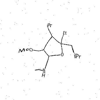 CBC1OC(CC)(CC(C)C)C(C(C)C)C1OC